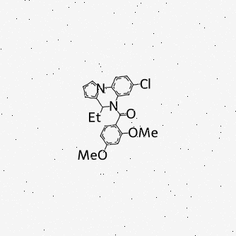 CCC1c2cccn2-c2ccc(Cl)cc2N1C(=O)c1ccc(OC)cc1OC